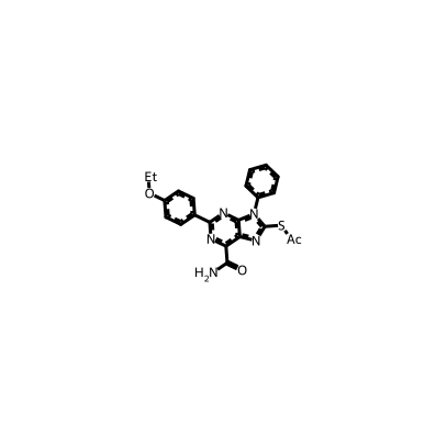 CCOc1ccc(-c2nc(C(N)=O)c3nc(SC(C)=O)n(-c4ccccc4)c3n2)cc1